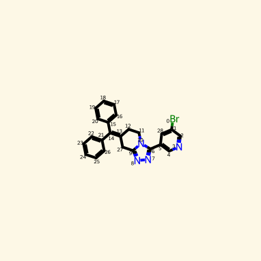 Brc1cncc(-c2nnc3n2CCC(=C(c2ccccc2)c2ccccc2)C3)c1